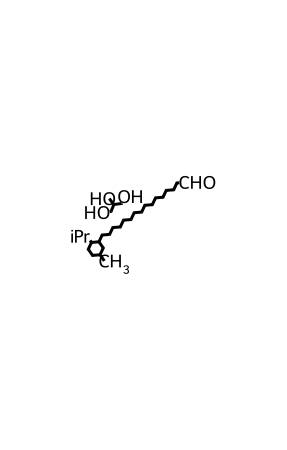 CC1CCC(C(C)C)C(CCCCCCCCCCCCCCCC=O)C1.OCC(O)CO